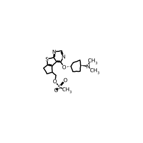 CN(C)[C@H]1CC[C@H](Oc2ncnc3sc4c(c23)C(COS(C)(=O)=O)CC4)CC1